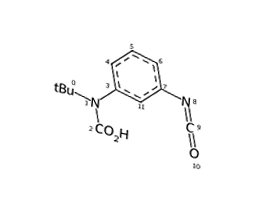 CC(C)(C)N(C(=O)O)c1cccc(N=C=O)c1